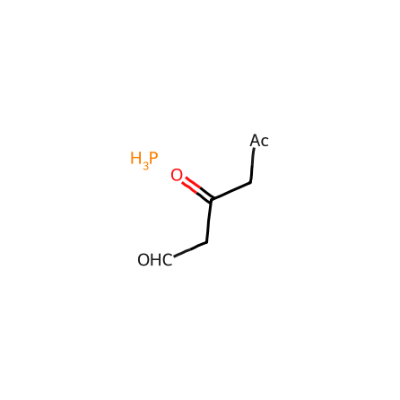 CC(=O)CC(=O)CC=O.P